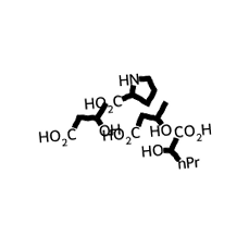 CC(O)CC(=O)O.CC(O)CC(=O)O.CCCC(O)C(=O)O.O=C(O)C1CCCN1